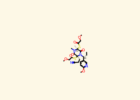 CC[C@H](c1ccc(OC)nc1)N1C(=O)[C@](C)(SC(=O)COC)N(C)C(=O)[C@]1(CCC#N)SC(=O)COC